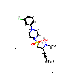 CCCCCC#CC(CS(=O)(=O)N1CCN(c2cccc(Cl)c2)CC1)N(O)C=O